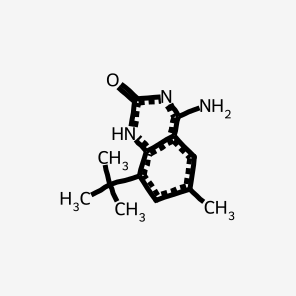 Cc1cc(C(C)(C)C)c2[nH]c(=O)nc(N)c2c1